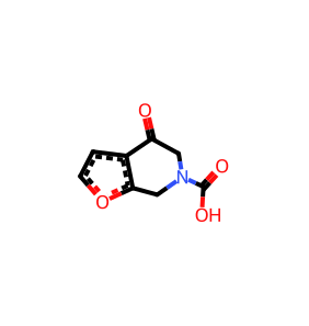 O=C1CN(C(=O)O)Cc2occc21